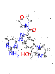 C[C@](O)(c1ccc2c(C(=O)N3CCOCC3)nn(-c3ccnc(N)n3)c2c1)c1ncccn1